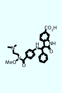 CON(CCN(C)C)C(=O)c1ccc(NC(=C2C(=O)Nc3cc(C(=O)O)ccc32)c2ccccc2)cc1